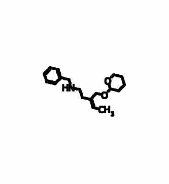 CC=C(CCNCc1ccccc1)COC1CCCCO1